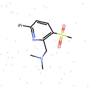 CC(C)c1ccc(S(C)(=O)=O)c(CN(C)C)n1